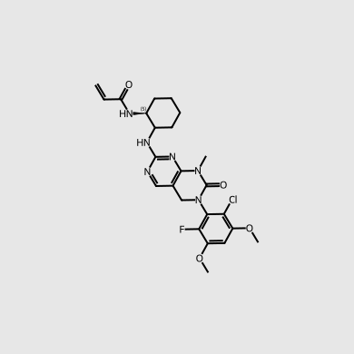 C=CC(=O)N[C@H]1CCCCC1Nc1ncc2c(n1)N(C)C(=O)N(c1c(F)c(OC)cc(OC)c1Cl)C2